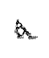 COCCC1[C@@H](C)C/C=C/[C@](CN2CCN(C(COC)COC)CC2)(OC)[C@@H]2CC[C@H]2CN2CCCCc3cc(Cl)ccc3COc3ccc(nc32)C(=O)NS1(=O)=O